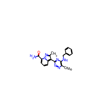 COc1nnc(-c2c(C)nn3c(C(N)=O)cccc23)nc1NCc1ccccc1